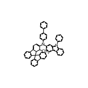 CC1C(N(c2ccc(-c3ccccc3)cc2)c2ccc3c4ccccc4n(-c4ccccc4)c3c2)=CC=C2c3ccccc3C3(c4ccccc4-c4ccccc43)C21